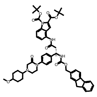 COC1CCC(N2CCN(c3ccc([C@H](CC(=O)Nc4cccc5c4cc(C(=O)OC(C)(C)C)n5C(=O)OC(C)(C)C)NC(=O)OCc4ccc5c(c4)Cc4ccccc4-5)cc3)C(=O)C2)CC1